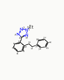 CCn1nnc(-c2ccccc2CCc2ccccc2)n1